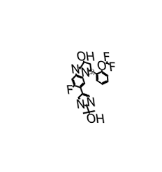 CC(C)(O)c1ncc(-c2cc3c(cc2F)nc2n3[C@H](c3ccccc3OC(F)F)CC2O)cn1